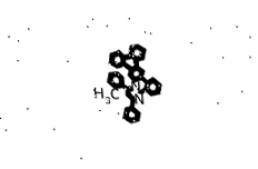 Cc1ccccc1-c1cc(-c2ccccc2)nc(-c2ccccc2-c2ccc3c4ccccc4c4ccccc4c3c2)n1